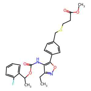 CCc1noc(-c2ccc(CSCCC(=O)OC)cc2)c1NC(=O)OC(C)c1ccccc1F